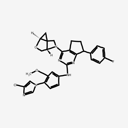 COc1cc(Nc2nc3c(c(N4CC56C[C@@H]5OC[C@@H]46)n2)CCC3c2ccc(F)cc2)ccc1-n1cnc(Cl)c1